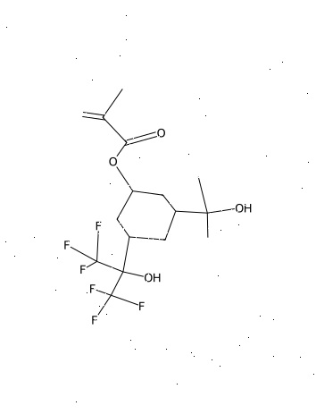 C=C(C)C(=O)OC1CC(C(C)(C)O)CC(C(O)(C(F)(F)F)C(F)(F)F)C1